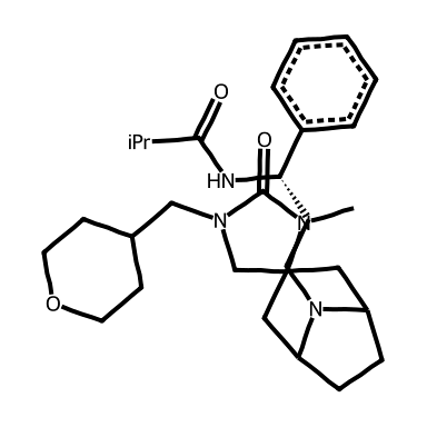 CC(C)C(=O)N[C@@H](CCN1C2CCC1CC1(C2)CN(CC2CCOCC2)C(=O)N1C)c1ccccc1